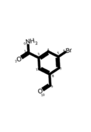 NC(=O)c1cc(Br)cc(C=O)c1